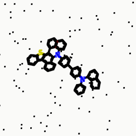 c1ccc(-c2c(N(c3ccccc3)c3ccc(-c4ccc(N(c5ccccc5)c5cccc6ccccc56)cc4)cc3)c3ccccc3c3c2sc2ccccc23)cc1